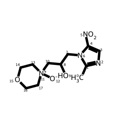 Cc1ncc([N+](=O)[O-])n1CC(O)C[N+]1([O-])CCOCC1